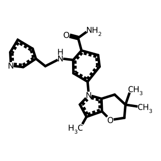 Cc1cn(-c2ccc(C(N)=O)c(NCc3cccnc3)c2)c2c1OCC(C)(C)C2